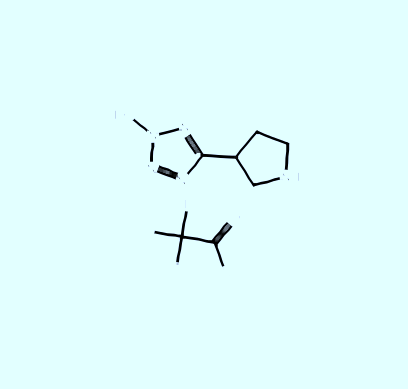 Cn1nnc(C2CCNC2)n1.O=C(O)C(F)(F)F